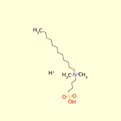 CCCCCCCCCCCC[N+](C)(C)CCCCS(=O)(=O)O.[H+]